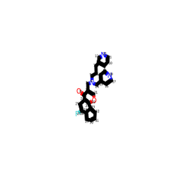 O=c1c(CN(CCCc2cccnc2)Cc2ccncc2)coc2c1cc(F)c1ccccc12